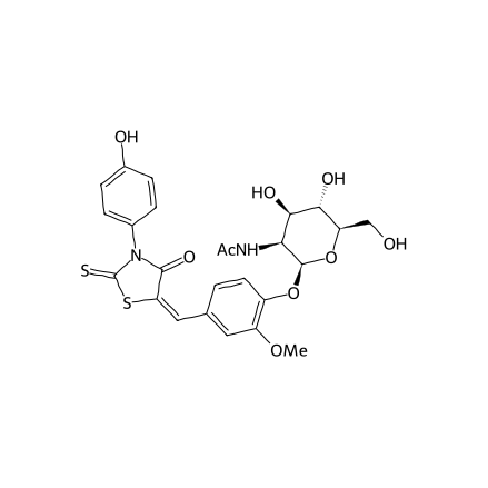 COc1cc(C=C2SC(=S)N(c3ccc(O)cc3)C2=O)ccc1O[C@@H]1O[C@H](CO)[C@@H](O)[C@H](O)[C@@H]1NC(C)=O